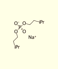 CC(C)CCOP(=O)([O-])OCCC(C)C.[Na+]